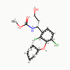 CC(C)(C)OC(=O)N[C@H](CCO)c1ccc(Cl)c(Oc2ccccc2)c1F